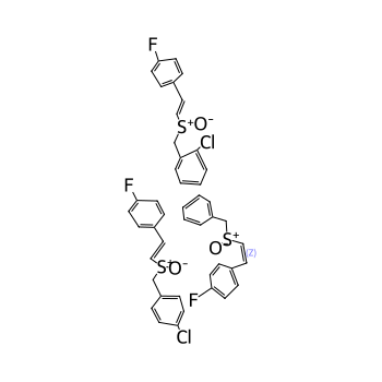 [O-][S+](/C=C\c1ccc(F)cc1)Cc1ccccc1.[O-][S+](C=Cc1ccc(F)cc1)Cc1ccc(Cl)cc1.[O-][S+](C=Cc1ccc(F)cc1)Cc1ccccc1Cl